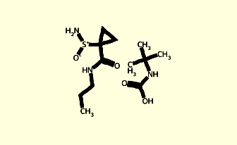 CC(C)(C)NC(=O)O.CCCNC(=O)C1([S+](N)[O-])CC1